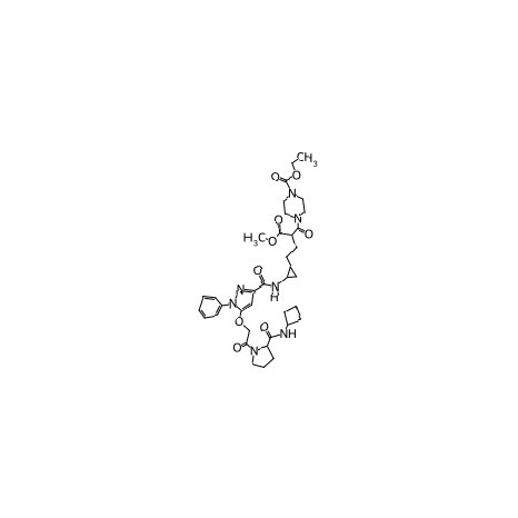 CCOC(=O)N1CCN(C(=O)C(CCC2CC2NC(=O)c2cc(OCC(=O)N3CCCC3C(=O)NC3CCC3)n(-c3ccccc3)n2)C(=O)OC)CC1